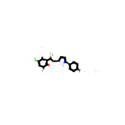 Cc1cc(Cl)c(C)c2c(Br)c(-c3ccc(-c4ccc(C(=O)O)cc4)[nH]3)oc12